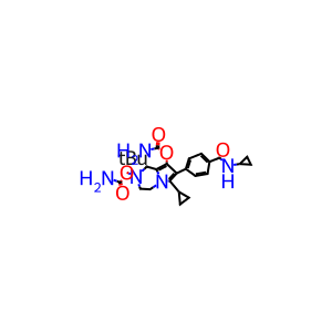 CC(C)(C)C1c2c(OC(N)=O)c(-c3ccc(C(=O)NC4CC4)cc3)c(C3CC3)n2CCN1OC(N)=O